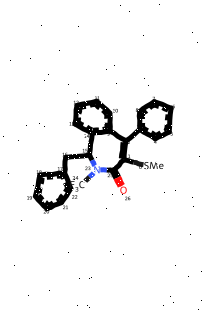 CSC1=C(c2ccccc2)c2ccccc2C(Cc2ccccc2)N(C(F)(F)F)C1=O